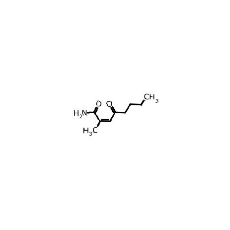 CCCCC(=O)C=C(C)C(N)=O